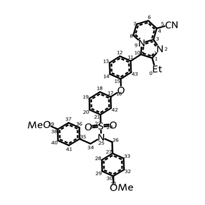 CCc1nc2c(C#N)cccn2c1-c1cccc(Oc2cccc(S(=O)(=O)N(Cc3ccc(OC)cc3)Cc3ccc(OC)cc3)c2)c1